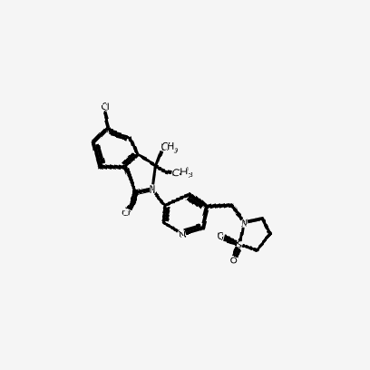 CC1(C)c2cc(Cl)ccc2C(=O)N1c1cncc(CN2CCCS2(=O)=O)c1